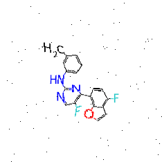 [CH2]c1cccc(Nc2ncc(F)c(-c3ccc(F)c4ccoc34)n2)c1